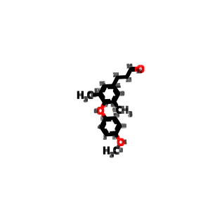 COc1ccc(Oc2c(C)cc(CCC=O)cc2C)cc1